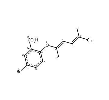 C/C(Cl)=C\C=C(/C)Oc1ccc(Br)cc1C(=O)O